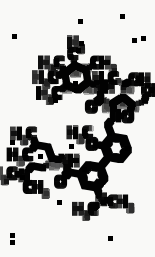 COc1c(CN2O[C@@H](CO)[C@@H]([C@H](C)O)[C@H]2C(=O)N[C@H]2C[C@@H](C)C(C)(C)[C@@H](C)[C@@H]2C)cccc1-c1cc(C(=O)N[C@H](CCN(C)C)CC(C)C)cc(N(C)C)c1